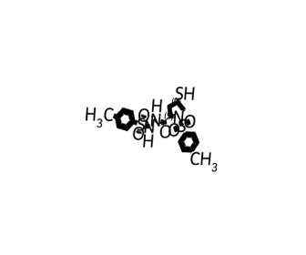 Cc1ccc(S(=O)(=O)NNC(=O)[C@@H]2C[C@@H](S)CN2S(=O)(=O)c2ccc(C)cc2)cc1